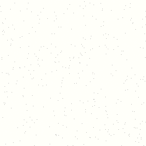 c1ccc(-c2ccc(-c3cc(-c4ccccc4)cc(-c4cccc(-c5cccc(-c6nc(-c7ccccc7)c7c(n6)c6ccccc6n7-c6ccccc6)c5)c4)c3)cc2)cc1